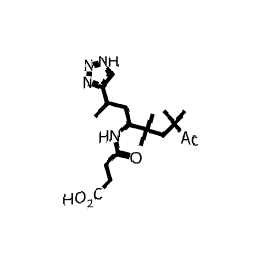 CC(=O)C(C)(C)CC(C)(C)C(CC(C)c1c[nH]nn1)NC(=O)CCC(=O)O